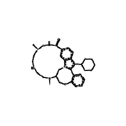 CN1CCNCCN(C)C2COc3ccccc3-c3c(C4CCCCC4)c4ccc(cc4n3C2)C(=O)NS1